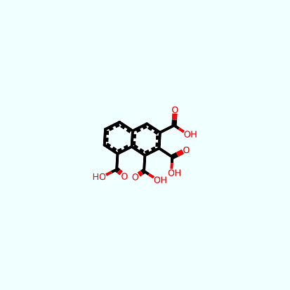 O=C(O)c1cc2cccc(C(=O)O)c2c(C(=O)O)c1C(=O)O